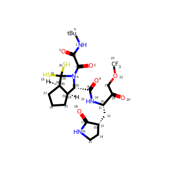 CC(C)(C)NC(=O)C(=O)N1[C@H](C(=O)N[C@@H](C[C@@H]2CCNC2=O)C(=O)COC(F)(F)F)[C@H]2CCC[C@H]2C1(S)S